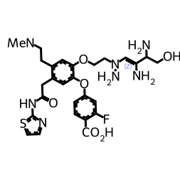 CNCCc1cc(OCCN(N)/C=C(\N)C(N)CO)c(Oc2ccc(C(=O)O)c(F)c2)cc1CC(=O)Nc1nccs1